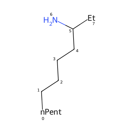 CCCCCCCCCC(N)CC